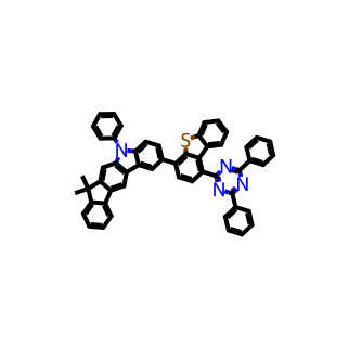 CC1(C)c2ccccc2-c2cc3c4cc(-c5ccc(-c6nc(-c7ccccc7)nc(-c7ccccc7)n6)c6c5sc5ccccc56)ccc4n(-c4ccccc4)c3cc21